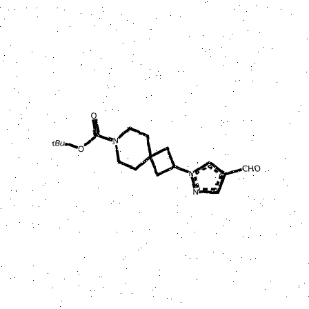 CC(C)(C)OC(=O)N1CCC2(CC1)CC(n1cc(C=O)cn1)C2